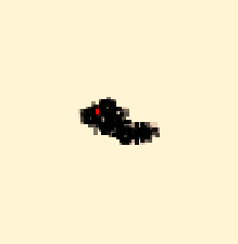 COc1cccc(OC)c1-n1c(NS(=O)(=O)[C@@H]2CCCN(c3ncc(F)cn3)C2)nnc1-c1ccccc1